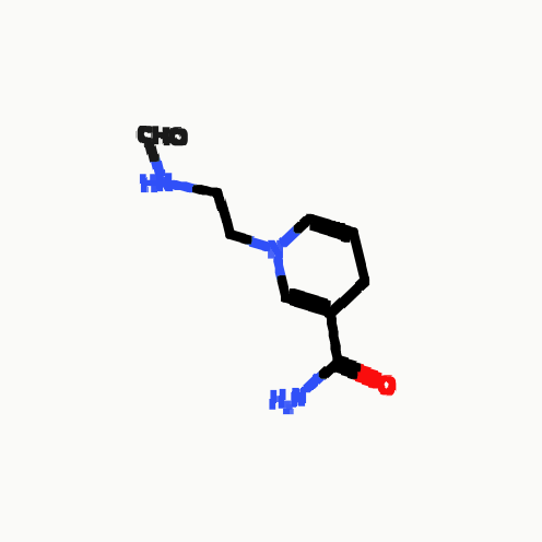 NC(=O)C1=CN(CCNC=O)C=CC1